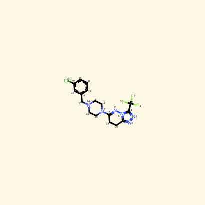 FC(F)(F)c1nnc2n1N=C(N1CCN(Cc3cccc(Cl)c3)CC1)CC2